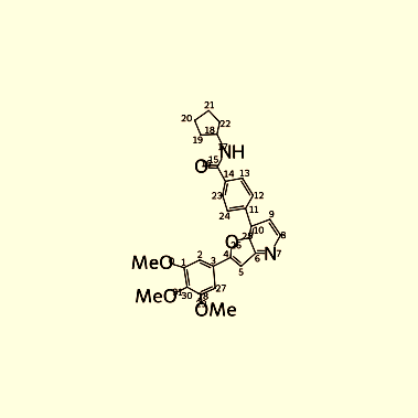 COc1cc(-c2cc3nccc(-c4ccc(C(=O)NC5CCCC5)cc4)c3o2)cc(OC)c1OC